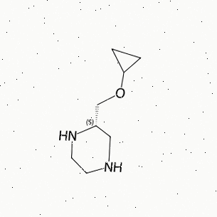 C1CN[C@H](COC2CC2)CN1